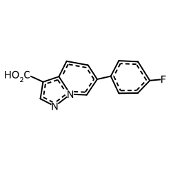 O=C(O)c1cnn2cc(-c3ccc(F)cc3)ccc12